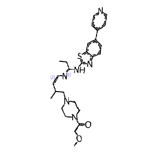 CC/C(=N\C=C/C(C)CN1CCN(C(=O)COC)CC1)Nc1nc2ccc(-c3ccncc3)cc2s1